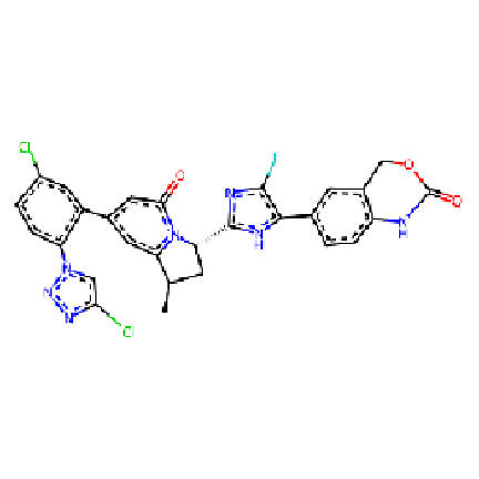 C[C@@H]1C[C@@H](c2nc(F)c(-c3ccc4c(c3)COC(=O)N4)[nH]2)n2c1cc(-c1cc(Cl)ccc1-n1cc(Cl)nn1)cc2=O